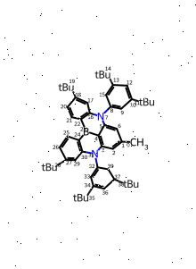 Cc1cc2c3c(c1)N(c1cc(C(C)(C)C)cc(C(C)(C)C)c1)c1cc(C(C)(C)C)ccc1B3c1ccc(C(C)(C)C)cc1N2C1=CC(C(C)(C)C)=CC(C(C)(C)C)C1